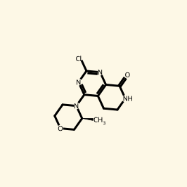 C[C@H]1COCCN1c1nc(Cl)nc2c1CCNC2=O